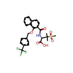 CC(C)([C@H](NC(=O)c1ccc2ccccc2c1OCc1ccc(C(F)(F)F)cc1)C(=O)O)S(C)(=O)=O